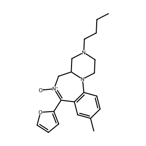 CCCCN1CCN2c3ccc(C)cc3C(c3ccco3)=[N+]([O-])CC2C1